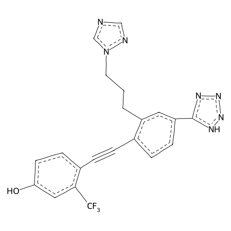 Oc1ccc(C#Cc2ccc(-c3nnn[nH]3)cc2CCCn2cncn2)c(C(F)(F)F)c1